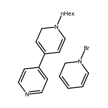 BrN1C=CC=CC1.CCCCCCN1C=CC(c2ccncc2)=CC1